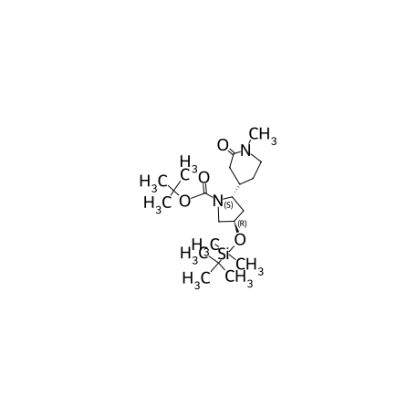 CN1CCC([C@@H]2C[C@@H](O[Si](C)(C)C(C)(C)C)CN2C(=O)OC(C)(C)C)CC1=O